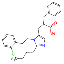 CCCCc1ncc(CC(Cc2ccccc2)C(=O)O)n1CCc1ccccc1Cl